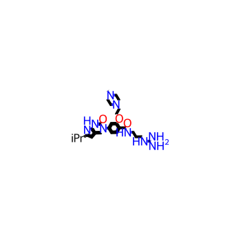 CC(C)c1cc2cn(-c3ccc(C(=O)NCCCNC(=N)N)c(OCCN4CCN(C)CC4)c3)c(=O)nc2[nH]1